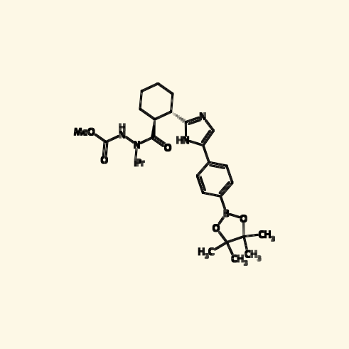 COC(=O)NN(C(=O)[C@H]1CCCC[C@@H]1c1ncc(-c2ccc(B3OC(C)(C)C(C)(C)O3)cc2)[nH]1)C(C)C